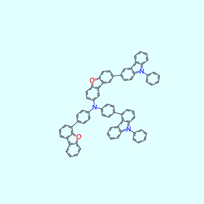 c1ccc(-n2c3ccccc3c3cc(-c4ccc5oc6ccc(N(c7ccc(-c8cccc9c8oc8ccccc89)cc7)c7ccc(-c8cccc9c8c8ccccc8n9-c8ccccc8)cc7)cc6c5c4)ccc32)cc1